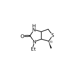 CCN1C(=O)NC2CS[C@@H](C)C21